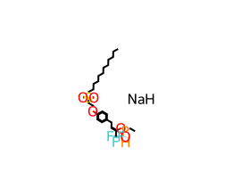 CCCCCCCCCCCCS(=O)(=O)CCOc1ccc(C/C=C(\O[PH](=O)CC)C(F)(F)F)cc1.[NaH]